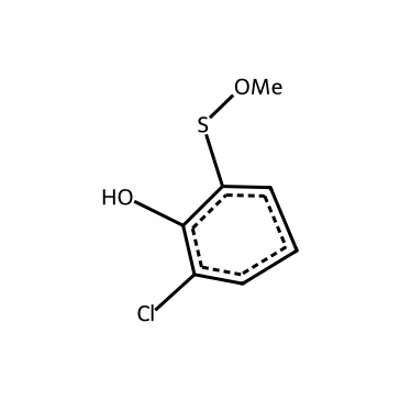 COSc1cccc(Cl)c1O